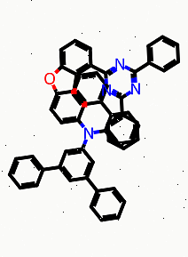 c1ccc(-c2cc(-c3ccccc3)cc(N(c3ccc4oc5cccc(-c6nc(-c7ccccc7)nc(-c7ccccc7)n6)c5c4c3)c3ccccc3-c3ccccc3)c2)cc1